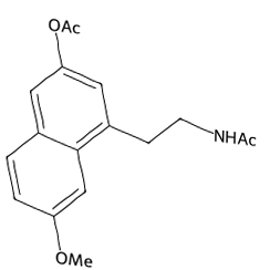 COc1ccc2cc(OC(C)=O)cc(CCNC(C)=O)c2c1